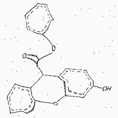 O=C(Oc1ccccc1)C1c2ccccc2Oc2cc(O)ccc21